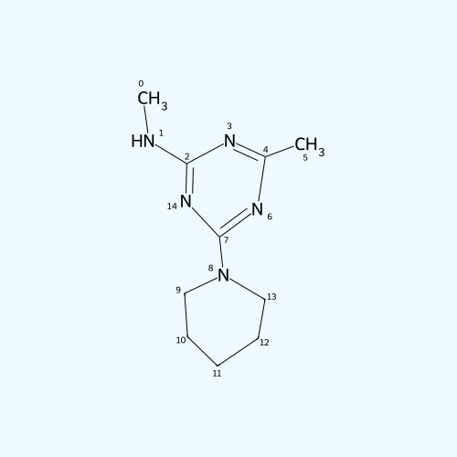 CNc1nc(C)nc(N2CCCCC2)n1